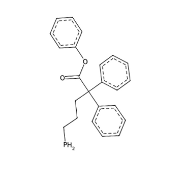 O=C(Oc1ccccc1)C(CCCP)(c1ccccc1)c1ccccc1